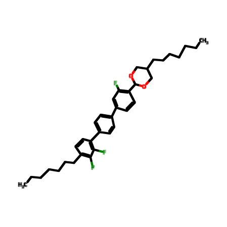 CCCCCCCc1ccc(-c2ccc(-c3ccc(C4OCC(CCCCCCC)CO4)c(F)c3)cc2)c(F)c1F